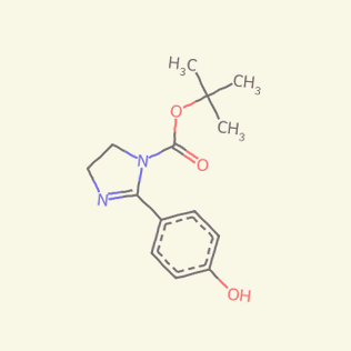 CC(C)(C)OC(=O)N1CCN=C1c1ccc(O)cc1